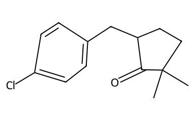 CC1(C)CCC(Cc2ccc(Cl)cc2)C1=O